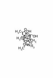 CCOC12C[C@@H](C)[C@@]3(O)[C@@H](C=C(CO)C[C@]4(O)C(=O)C(C)=C[C@@H]34)[C@@H]1C(C)(C)N=N2